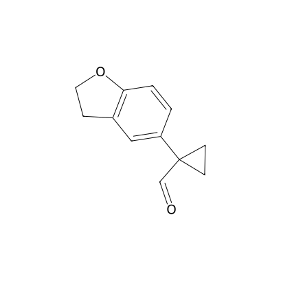 O=CC1(c2ccc3c(c2)CCO3)CC1